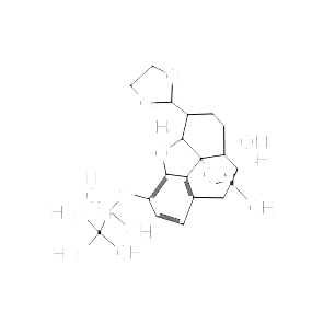 CN1CC[C@]23c4c5ccc(O[Si](C)(C)C(C)(C)C)c4O[C@H]2C(C2OCCO2)CC[C@@]3(O)[C@H]1C5